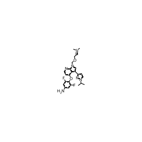 CC(C)n1ccc(-c2cn(COCC[SiH](C)C)c3nccc(Oc4c(F)cc(N)cc4F)c23)n1